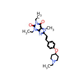 CCN1CCC(Oc2ccc(C=Cc3nc4c(c(=O)n(CC)c(=O)n4CC)n3C)cc2)CC1